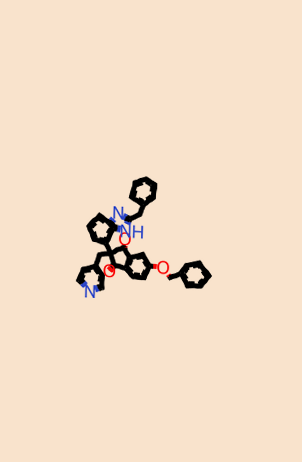 O=C1c2ccc(OCc3ccccc3)cc2C(=O)C1(Cc1ccncc1)c1cccc2nc(Cc3ccccc3)[nH]c12